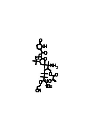 C=C(O)C(=O)OCC(CC(C)(C)C(C)(C)C(CC(C)(C)C)OCCC#N)C(C)(N)C(C)(C)CC(C(=O)OC(=O)C1CCC(=O)N1)C(C)(C)CC